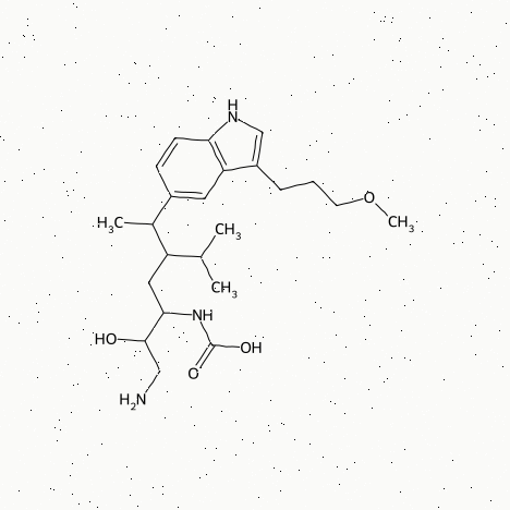 COCCCc1c[nH]c2ccc(C(C)C(CC(NC(=O)O)C(O)CN)C(C)C)cc12